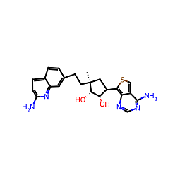 C[C@]1(CCc2ccc3ccc(N)nc3c2)C[C@@H](c2scc3c(N)ncnc23)[C@H](O)[C@@H]1O